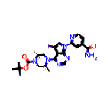 C[C@@H]1CN(c2ncnc3c2c(I)cn3-c2cc(C(N)=O)ccn2)[C@@H](C)CN1C(=O)OC(C)(C)C